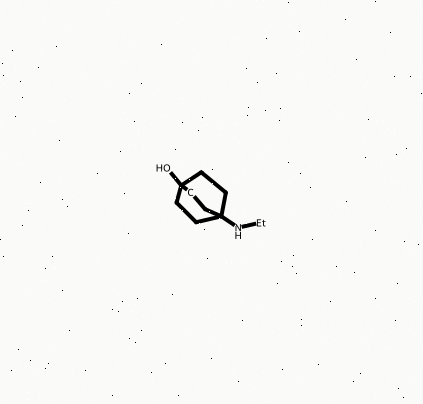 CCNC12CCC(O)(CC1)CC2